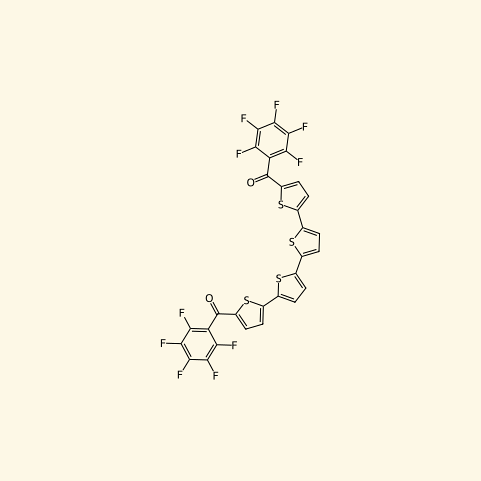 O=C(c1ccc(-c2ccc(-c3ccc(-c4ccc(C(=O)c5c(F)c(F)c(F)c(F)c5F)s4)s3)s2)s1)c1c(F)c(F)c(F)c(F)c1F